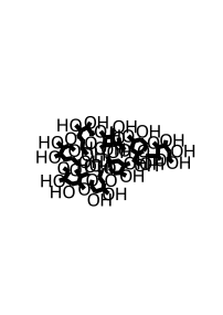 OCC1CC(O)C(O)C(OC2C(CO)OC(OC3C(CO)OC(OC4C(CO)OC(OC5C(CO)OC(OC6C(O)C7(O)C(OC8C(CO)OC(OC9C(CO)OC(O)C(O)C9O)C(O)C8O)OC67CO)C(O)C5O)C(O)C4O)C(O)C3O)C(O)C2O)O1